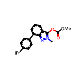 COC(=O)Oc1c2cccc(-c3ccc(C(C)C)cc3)c2nn1C